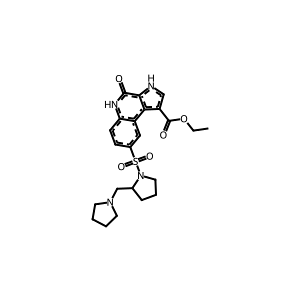 CCOC(=O)c1c[nH]c2c(=O)[nH]c3ccc(S(=O)(=O)N4CCCC4CN4CCCC4)cc3c12